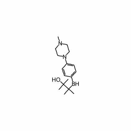 CN1CCN(c2ccc(BC(C)(C)C(C)(C)O)cc2)CC1